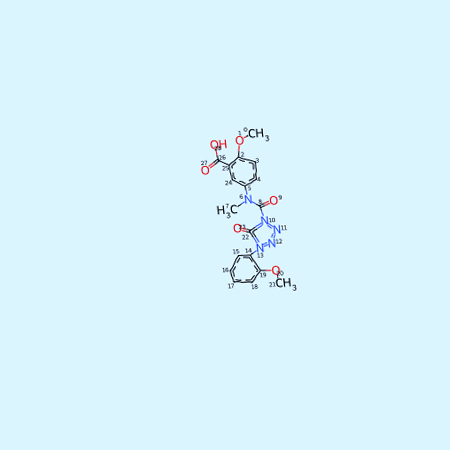 COc1ccc(N(C)C(=O)n2nnn(-c3ccccc3OC)c2=O)cc1C(=O)O